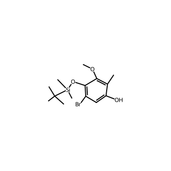 COc1c(C)c(O)cc(Br)c1O[Si](C)(C)C(C)(C)C